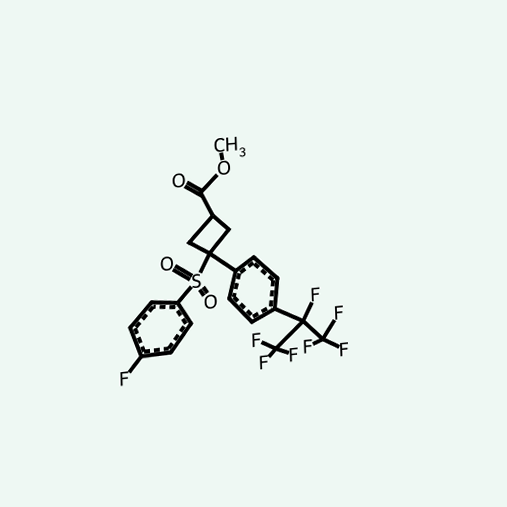 COC(=O)C1CC(c2ccc(C(F)(C(F)(F)F)C(F)(F)F)cc2)(S(=O)(=O)c2ccc(F)cc2)C1